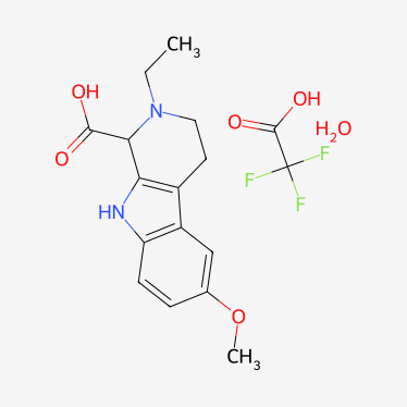 CCN1CCc2c([nH]c3ccc(OC)cc23)C1C(=O)O.O.O=C(O)C(F)(F)F